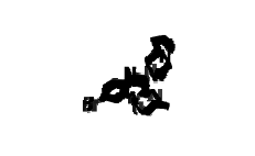 CC1C=NN2C(=N1)C(N1CCN3CCCC3C1)=Nc1ccc(Br)cc12